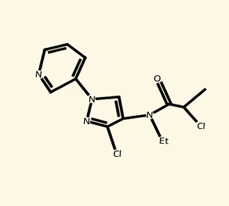 CCN(C(=O)C(C)Cl)c1cn(-c2cccnc2)nc1Cl